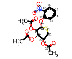 CC(=O)O[C@@H]1[C@@H](OC(C)=O)[C@@H](Oc2ccccc2[N+](=O)[O-])SC[C@H]1OC(C)=O